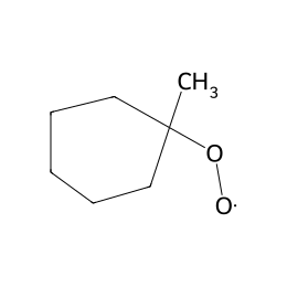 CC1(O[O])CCCCC1